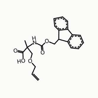 C=CCOCC(C)(NC(=O)OCC1c2ccccc2-c2ccccc21)C(=O)O